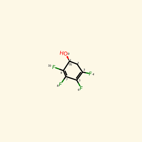 O[C@H]1CC(F)=C(F)C(F)=C1F